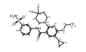 NS(=O)(=O)c1cc(NC(=O)c2cc(C3CC3)c(OCC(F)(F)F)nc2N2CCC(F)(F)CC2)ccn1